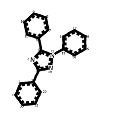 [c]1[c]c(-c2nc(-c3[c][c]ccc3)n(-c3ccccc3)n2)ccc1